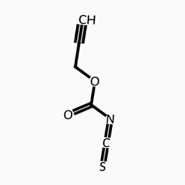 C#CCOC(=O)N=C=S